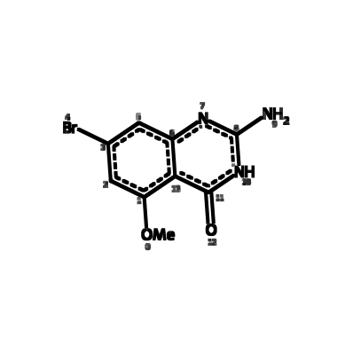 COc1cc(Br)cc2nc(N)[nH]c(=O)c12